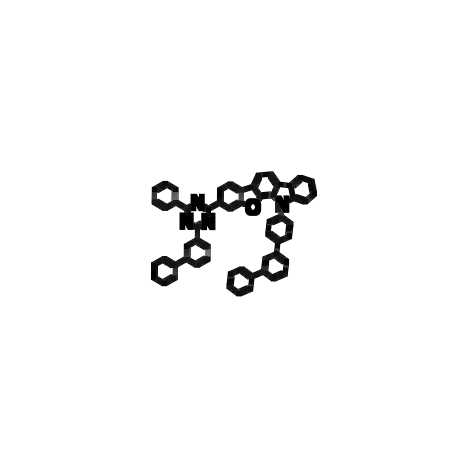 c1ccc(-c2cccc(-c3ccc(-n4c5ccccc5c5ccc6c7ccc(-c8nc(-c9ccccc9)nc(-c9cccc(-c%10ccccc%10)c9)n8)cc7oc6c54)cc3)c2)cc1